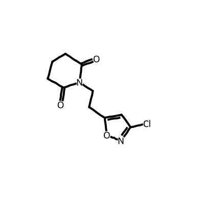 O=C1CCCC(=O)N1CCc1cc(Cl)no1